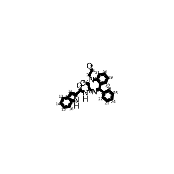 O=CCN1C(=O)[C@@H](NC(=O)c2cc3ccccc3[nH]2)N=C(c2ccccc2)c2ccccc21